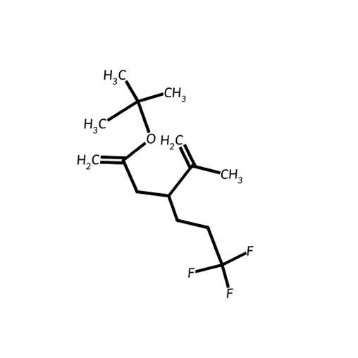 C=C(CC(CCC(F)(F)F)C(=C)C)OC(C)(C)C